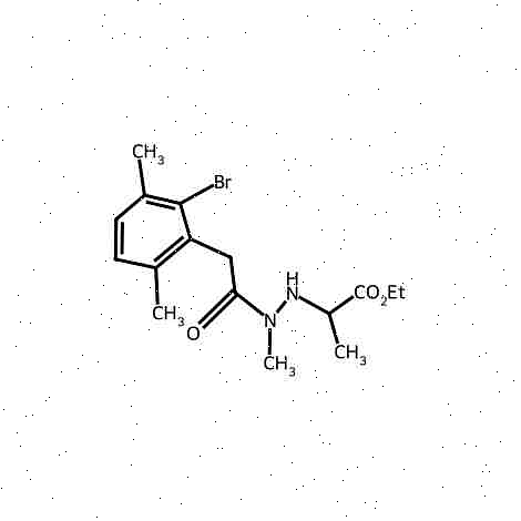 CCOC(=O)C(C)NN(C)C(=O)Cc1c(C)ccc(C)c1Br